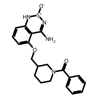 NC1=N[S+]([O-])Nc2cccc(OCC3CCCN(C(=O)c4ccccc4)C3)c21